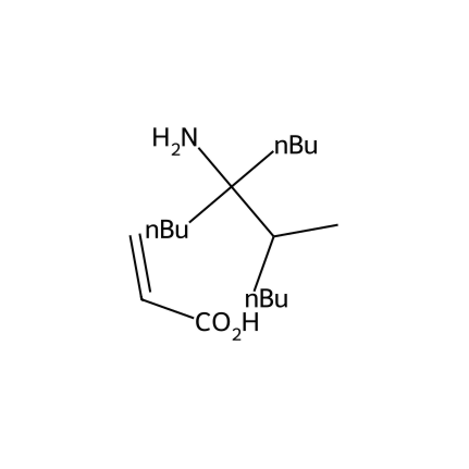 C=CC(=O)O.CCCCC(C)C(N)(CCCC)CCCC